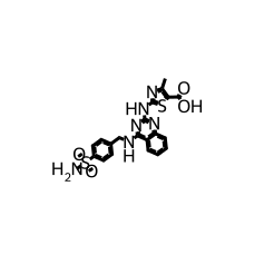 Cc1nc(Nc2nc(NCc3ccc(S(N)(=O)=O)cc3)c3ccccc3n2)sc1C(=O)O